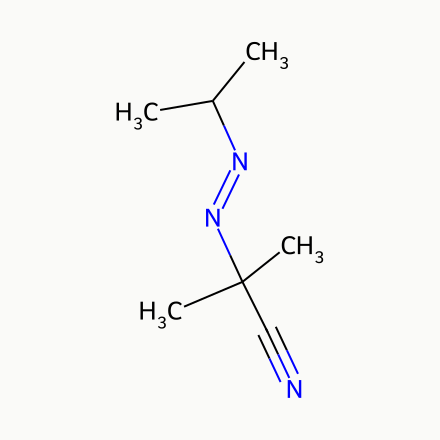 CC(C)/N=N/C(C)(C)C#N